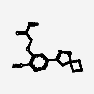 CNC(=O)COc1cc(C2=NOC3(CCC3)C2)ccc1OC